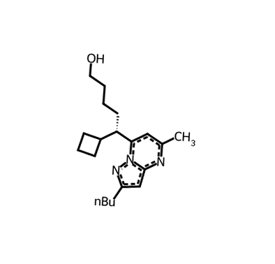 CCCCc1cc2nc(C)cc([C@@H](CCCCO)C3CCC3)n2n1